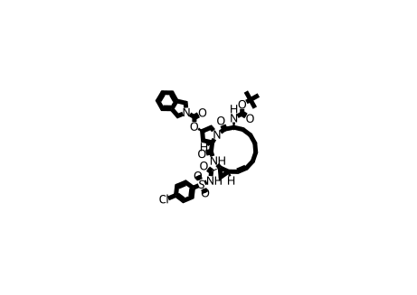 CC(C)(C)OC(=O)N[C@H]1CCCCC/C=C\[C@@H]2C[C@@]2(C(=O)NS(=O)(=O)c2ccc(Cl)cc2)NC(=O)[C@@H]2C[C@@H](OC(=O)N3Cc4ccccc4C3)CN2C1=O